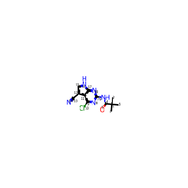 CC(C)(C)C(=O)Nc1nc(Cl)c2c(C#N)c[nH]c2n1